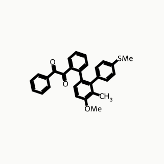 COc1ccc(-c2ccccc2C(=O)C(=O)c2ccccc2)c(-c2ccc(SC)cc2)c1C